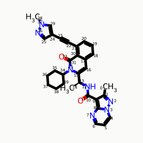 Cc1nn2cccnc2c1C(=O)N[C@@H](C)c1cc2cccc(C#Cc3cnn(C)c3)c2c(=O)n1C1CCCCC1